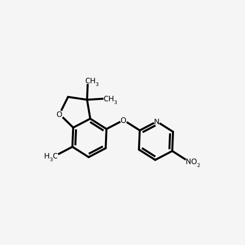 Cc1ccc(Oc2ccc([N+](=O)[O-])cn2)c2c1OCC2(C)C